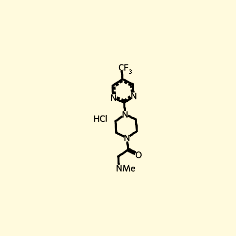 CNCC(=O)N1CCN(c2ncc(C(F)(F)F)cn2)CC1.Cl